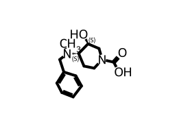 CN(Cc1ccccc1)[C@H]1CCN(C(=O)O)C[C@@H]1O